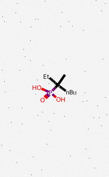 CCCCC(C)(CC)P(=O)(O)O